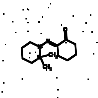 C[Si]1(C)CCCCN1N=C1CCCCC1=O